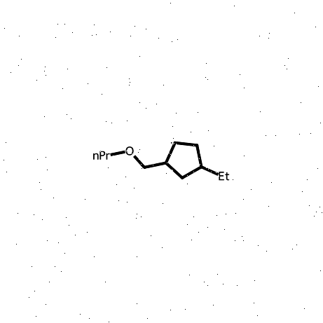 [CH2]CC1C[CH]C(COCCC)C1